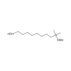 CCCCCCCCCCCCCCCC[Si](C)(C)OC